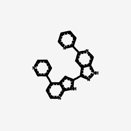 c1ccc(-c2cc3c(-c4cc5c(-c6cccnc6)ccnc5[nH]4)n[nH]c3cn2)nc1